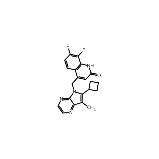 Cc1c(C2CCC2)n(Cc2cc(=O)[nH]c3c(F)c(F)ccc23)c2nccnc12